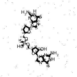 Nc1nc2c(ncn2C2O[C@H](COP(O)(=S)OC[C@@H]3CC[C@H](n4cnc5c(=S)[nH]c(N)nc54)O3)C[C@@H]2O)c(=S)[nH]1